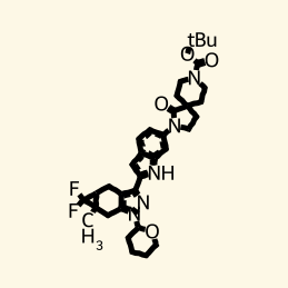 CC(C)(C)OC(=O)N1CCC2(CC1)CCN(c1ccc3cc(-c4nn(C5CCCCO5)c5c4CC4C(F)(F)C4(C)C5)[nH]c3c1)C2=O